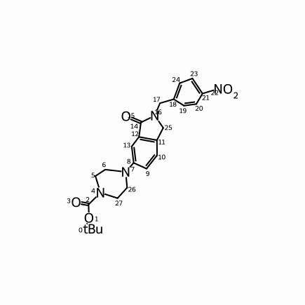 CC(C)(C)OC(=O)N1CCN(c2ccc3c(c2)C(=O)N(Cc2ccc([N+](=O)[O-])cc2)C3)CC1